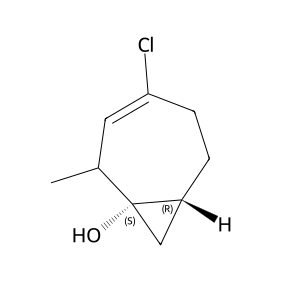 CC1C=C(Cl)CC[C@@H]2C[C@@]12O